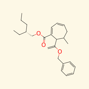 C=C(OCc1ccccc1)C1C(C(=O)OC[C@H](CC)CCC)=CC=CCC1C